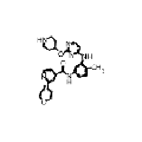 Cc1ccc(NC(=O)c2ccnc(N3CCOCC3)c2)cc1Nc1ccnc(OC2CCNCC2)n1